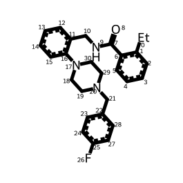 CCc1ccccc1C(=O)NCc1ccccc1N1CCN(Cc2ccc(F)cc2)CC1